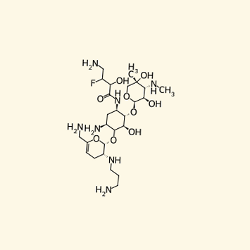 CN[C@@H]1[C@@H](O)[C@@H](O[C@H]2[C@H](NC(=O)C(O)C(F)CN)C[C@H](N)C(O[C@H]3OC(CN)=CC[C@H]3NCCCN)[C@@H]2O)OC[C@]1(C)O